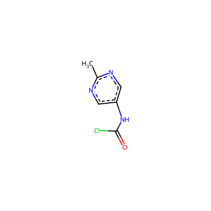 Cc1ncc(NC(=O)Cl)cn1